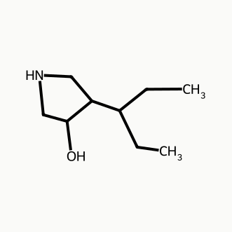 CCC(CC)C1CNCC1O